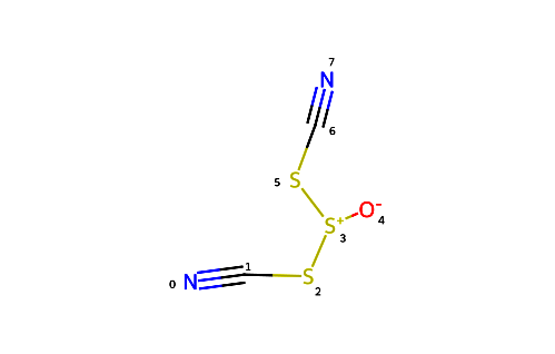 N#CS[S+]([O-])SC#N